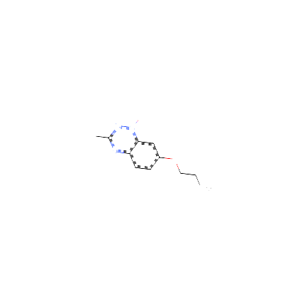 CCc1nc2ccc(OCCOC)cc2[n+]([O-])n1